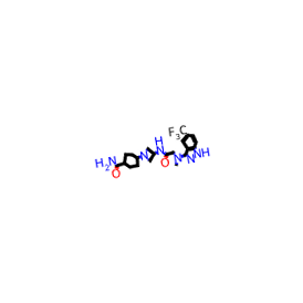 CN(CC(=O)NC1CN(C2CCC(C(N)=O)CC2)C1)c1n[nH]c2ccc(C(F)(F)F)cc12